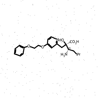 CC(C)C[C@H](N)[C@](O)(Cc1cc(OCCOc2ccccc2)ccn1)C(=O)O